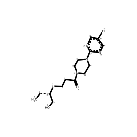 CC[C@@H](CO)OCCC(=O)N1CCN(c2ncc(Cl)cn2)CC1